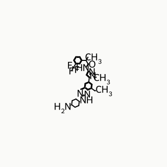 CCc1cc(-c2cc(NC(=O)C(C)c3cccc(C(F)(F)F)c3)nn2C)cc2cnc(N[C@H]3CC[C@H](N)CC3)nc12